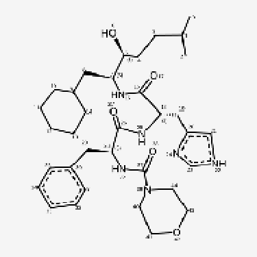 CC(C)CC[C@H](O)[C@H](CC1CCCCC1)NC(=O)[C@H](Cc1c[nH]cn1)NC(=O)[C@H](Cc1ccccc1)NC(=O)N1CCOCC1